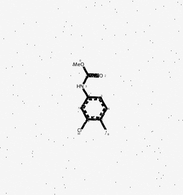 COC(=O)Nc1ccc(I)c(Cl)c1